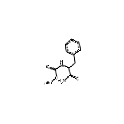 CCCCOC(=O)NC(Cc1ccccc1)C(N)=O